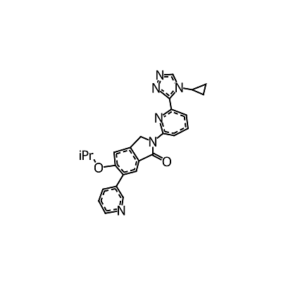 CC(C)Oc1cc2c(cc1-c1cccnc1)C(=O)N(c1cccc(-c3nncn3C3CC3)n1)C2